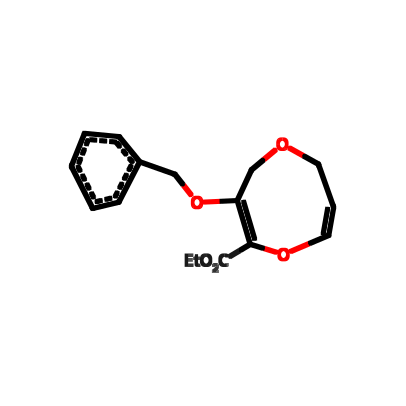 CCOC(=O)/C1=C(\OCc2ccccc2)COC/C=C\O1